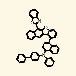 c1ccc(-c2ccc(N(c3ccccc3)c3ccc(-c4cccc5oc6c(-c7nc8ccccc8o7)c7ccccc7cc6c45)c4ccccc34)cc2)cc1